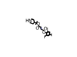 CC(C)(OC(=O)/C=C/C(=O)Oc1c(I)cc(I)cc1I)C1CCNCC1